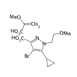 C=C(OC)C(=O)O.COCCn1nc(C(=O)O)c(Br)c1C1CC1